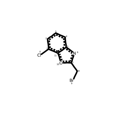 Clc1cccc2nc(CBr)oc12